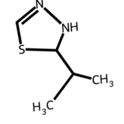 CC(C)C1NN=CS1